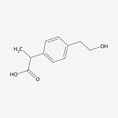 CC(C(=O)O)c1ccc(CCO)cc1